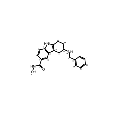 O=C(NO)c1ccc2[nH]c3c(c2c1)CC(NCc1ccccc1)CC3